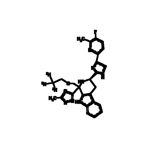 [2H]C([2H])([2H])COCC1(c2nnc(C)o2)N[C@@H](c2nc(-c3ccc(F)c(C)n3)c[nH]2)Cc2c1[nH]c1ccccc21